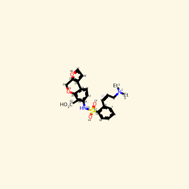 CCN(CC)C/C=C\c1ccccc1S(=O)(=O)Nc1ccc2c(c1C(=O)O)OCc1occc1-2